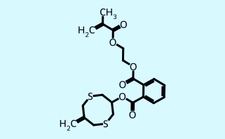 C=C1CSCC(OC(=O)c2ccccc2C(=O)OCCOC(=O)C(=C)C)CSC1